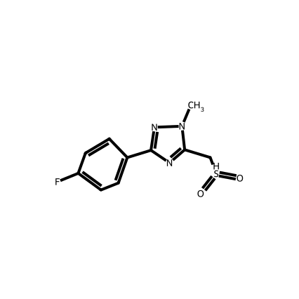 Cn1nc(-c2ccc(F)cc2)nc1C[SH](=O)=O